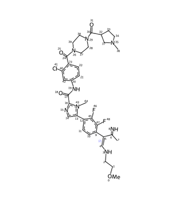 COCCN/C=C(\C(C)=N)c1ccc(-c2cnc(C(=O)Nc3ccc(C(=O)N4CCN(C(=O)C5CCN(C)C5)CC4)c(Cl)c3)n2C)c(F)c1F